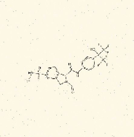 CNS(=O)(=O)c1ccc2c(c1)CN(C=O)C2C(=O)Nc1ccc(C(O)(C(F)(F)F)C(F)(F)F)cc1